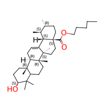 CCCCCOC(=O)[C@]12CC[C@@H](C)[C@H](C)[C@H]1C1=CC[C@@H]3[C@@]4(C)CC[C@H](O)C(C)(C)C4CC[C@@]3(C)[C@]1(C)CC2